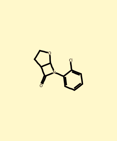 O=C1C2CCOC2N1c1ccccc1Cl